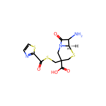 NC1C(=O)N2CC(CSC(=O)c3nccs3)(C(=O)O)CS[C@H]12